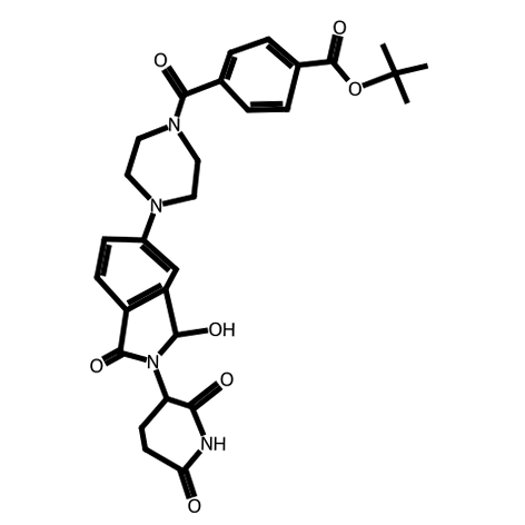 CC(C)(C)OC(=O)c1ccc(C(=O)N2CCN(c3ccc4c(c3)C(O)N(C3CCC(=O)NC3=O)C4=O)CC2)cc1